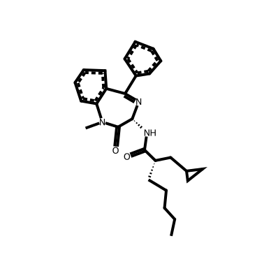 CCCCC[C@@H](CC1CC1)C(=O)N[C@H]1N=C(c2ccccc2)c2ccccc2N(C)C1=O